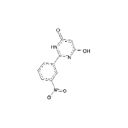 O=c1cc(O)nc(-c2cccc([N+](=O)[O-])c2)[nH]1